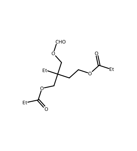 CCC(=O)OCCC(CC)(COC=O)COC(=O)CC